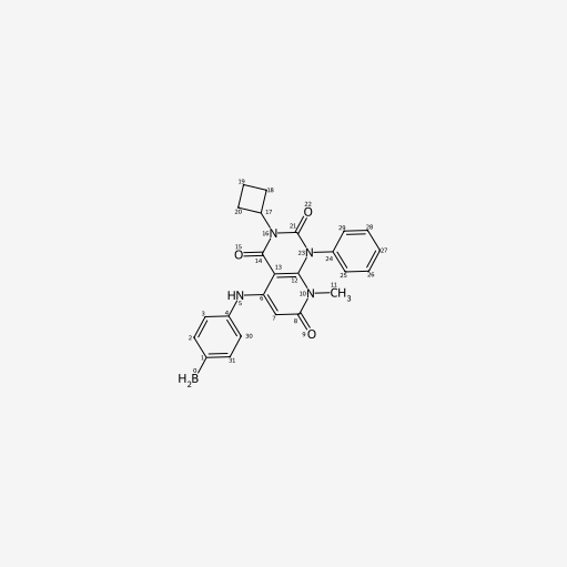 Bc1ccc(Nc2cc(=O)n(C)c3c2c(=O)n(C2CCC2)c(=O)n3-c2ccccc2)cc1